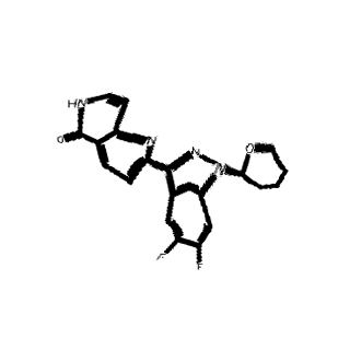 O=c1[nH]ccc2nc(-c3nn(C4CCCCO4)c4cc(F)c(F)cc34)ccc12